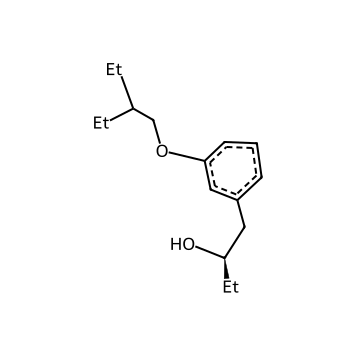 CCC(CC)COc1cccc(C[C@H](O)CC)c1